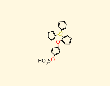 O=S(=O)(O)Oc1ccc(Oc2ccccc2[S+](c2ccccc2)c2ccccc2)cc1